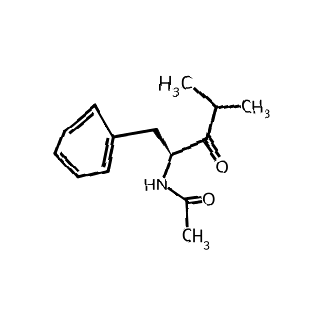 CC(=O)N[C@@H](Cc1ccccc1)C(=O)C(C)C